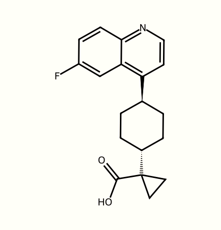 O=C(O)C1([C@H]2CC[C@H](c3ccnc4ccc(F)cc43)CC2)CC1